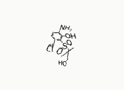 CC(C)(CO)S(=O)(=O)c1c(Cl)ccc(N)c1O